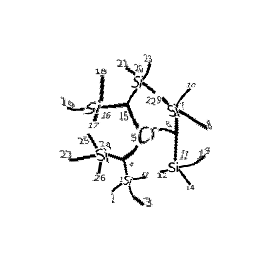 C[Si](C)(C)[CH]([Cr]([CH]([Si](C)(C)C)[Si](C)(C)C)[CH]([Si](C)(C)C)[Si](C)(C)C)[Si](C)(C)C